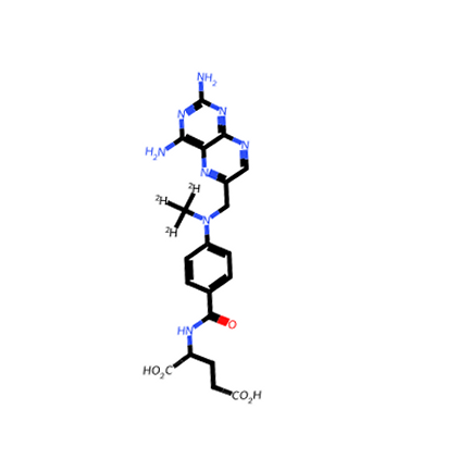 [2H]C([2H])([2H])N(Cc1cnc2nc(N)nc(N)c2n1)c1ccc(C(=O)NC(CCC(=O)O)C(=O)O)cc1